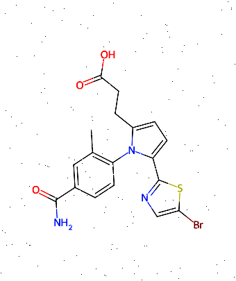 Cc1cc(C(N)=O)ccc1-n1c(CCC(=O)O)ccc1-c1ncc(Br)s1